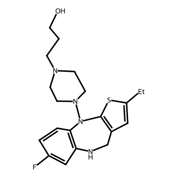 CCc1cc2c(s1)N(N1CCN(CCCO)CC1)c1ccc(F)cc1NC2